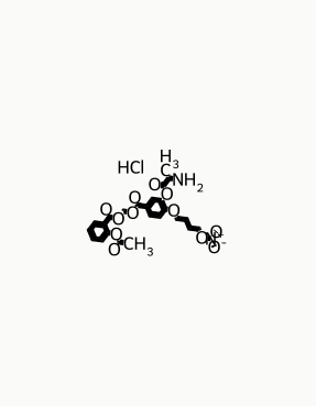 CC(=O)Oc1ccccc1C(=O)OCOC(=O)c1ccc(OCCCCO[N+](=O)[O-])c(OC(=O)C(C)N)c1.Cl